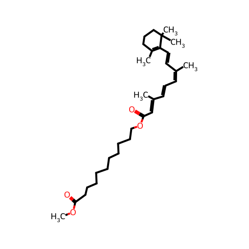 COC(=O)CCCCCCCCCCOC(=O)/C=C(C)/C=C/C=C(C)\C=C\C1=C(C)CCCC1(C)C